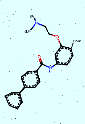 COc1ccc(NC(=O)c2ccc(-c3ccccc3)cc2)cc1OCCN(C(C)C)C(C)(C)C